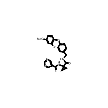 COc1ccc(Oc2ccc(CNC(=O)C3(NC(=O)c4cncnc4)CC3)cc2)c(Br)c1